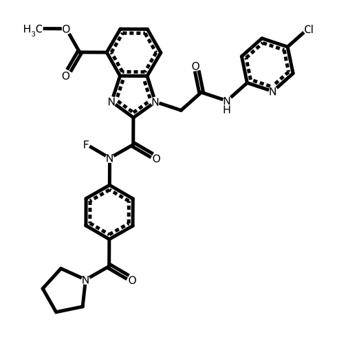 COC(=O)c1cccc2c1nc(C(=O)N(F)c1ccc(C(=O)N3CCCC3)cc1)n2CC(=O)Nc1ccc(Cl)cn1